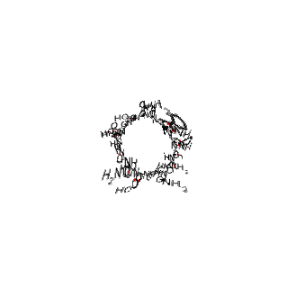 CCCC[C@H]1C(=O)N[C@@H](CN)C(=O)N[C@H](C(=O)NCC(N)=O)CSCC(=O)NC(Cc2ccc(O)cc2)C(=O)N(C)[C@@H](C)C(=O)N[C@@H](CC(N)=O)C(=O)N2CCC[C@H]2C(=O)N[C@@H](Cc2c[nH]cn2)C(=O)N[C@@H](CCC(=O)O)C(=O)N2C[C@H](O)C[C@H]2C(=O)N[C@@H](Cc2c[nH]c3ccccc23)C(=O)N[C@@H](CCN)C(=O)N[C@@H](Cc2c[nH]c3ccccc23)C(=O)N(C)[C@@H](Cc2c[nH]c3ccccc23)C(=O)N1C